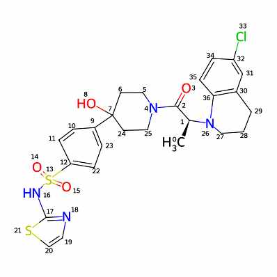 C[C@@H](C(=O)N1CCC(O)(c2ccc(S(=O)(=O)Nc3nccs3)cc2)CC1)N1CCCc2cc(Cl)ccc21